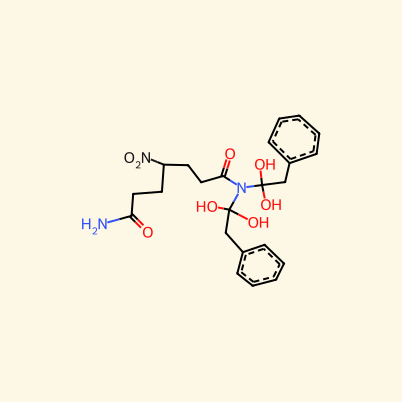 NC(=O)CCC(CCC(=O)N(C(O)(O)Cc1ccccc1)C(O)(O)Cc1ccccc1)[N+](=O)[O-]